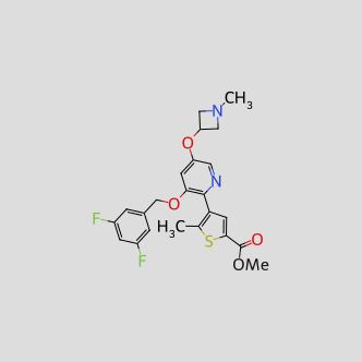 COC(=O)c1cc(-c2ncc(OC3CN(C)C3)cc2OCc2cc(F)cc(F)c2)c(C)s1